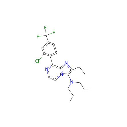 CCCN(CCC)c1c(CC)nc2c(-c3ccc(C(F)(F)F)cc3Cl)nccn12